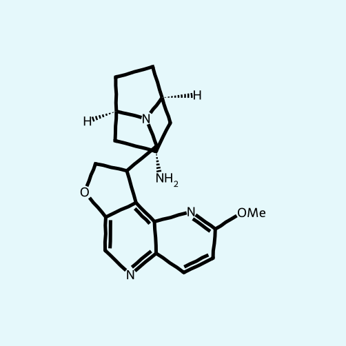 COc1ccc2ncc3c(c2n1)C(CN1[C@@H]2CC[C@H]1C[C@H](N)C2)CO3